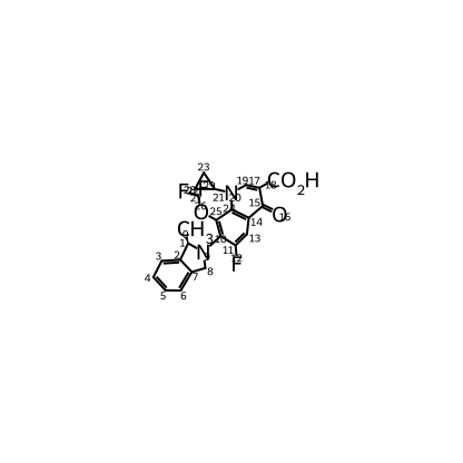 C[C@@H]1c2ccccc2CN1c1c(F)cc2c(=O)c(C(=O)O)cn(C3CC3)c2c1OC(F)F